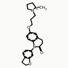 C[C@@H]1CCCN1CCCOc1ccc2c(c1)CCC(=O)N2c1ccc2c(c1)OCC2